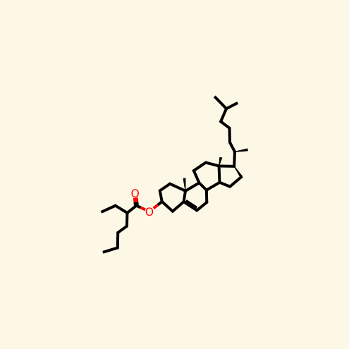 CCCCC(CC)C(=O)OC1CC[C@@]2(C)C(=CCC3C2CC[C@@]2(C)C3CC[C@@H]2[C@H](C)CCCC(C)C)C1